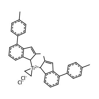 CC1=Cc2c(-c3ccc(C)cc3)cccc2[CH]1[Ti+2]1([CH]2C(C)=Cc3c(-c4ccc(C)cc4)cccc32)[CH2][CH2]1.[Cl-].[Cl-]